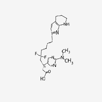 CN(C)c1ncc([C@H](CC(=O)O)CC(F)(F)CCCCc2ccc3c(n2)NCCC3)cn1